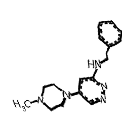 CN1CCN(c2cnnc(NCc3ccccc3)c2)CC1